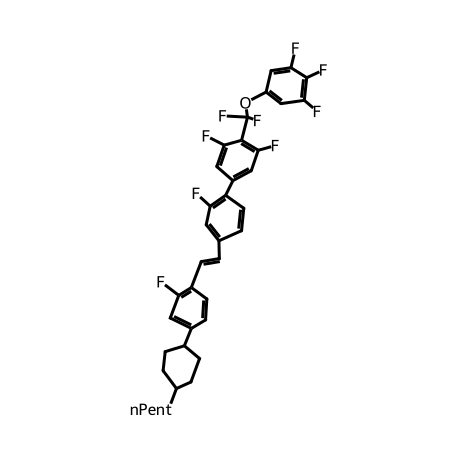 CCCCCC1CCC(c2ccc(/C=C/c3ccc(-c4cc(F)c(C(F)(F)Oc5cc(F)c(F)c(F)c5)c(F)c4)c(F)c3)c(F)c2)CC1